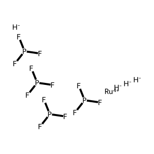 FP(F)F.FP(F)F.FP(F)F.FP(F)F.[H-].[H-].[H-].[H-].[Ru+4]